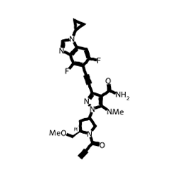 C#CC(=O)N1CC(n2nc(C#Cc3c(F)cc4c(ncn4C4CC4)c3F)c(C(N)=O)c2NC)C[C@@H]1COC